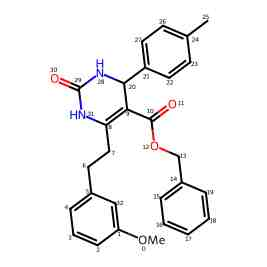 COc1cccc(CCC2=C(C(=O)OCc3ccccc3)C(c3ccc(C)cc3)NC(=O)N2)c1